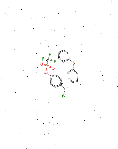 O=S(=O)(Oc1ccc(CBr)cc1)C(F)(F)F.c1ccc(Sc2ccccc2)cc1